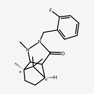 CN1C2C(C(=O)N1Cc1ccccc1F)[C@H]1CC[C@]2(C)C1(C)C